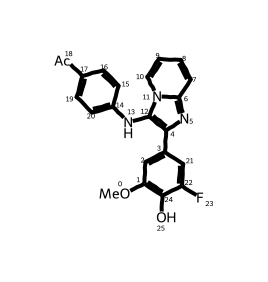 COc1cc(-c2nc3ccccn3c2Nc2ccc(C(C)=O)cc2)cc(F)c1O